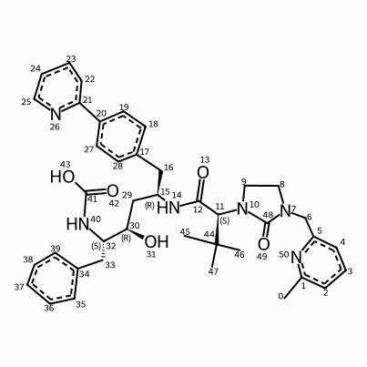 Cc1cccc(CN2CCN([C@H](C(=O)N[C@H](Cc3ccc(-c4ccccn4)cc3)C[C@@H](O)[C@H](Cc3ccccc3)NC(=O)O)C(C)(C)C)C2=O)n1